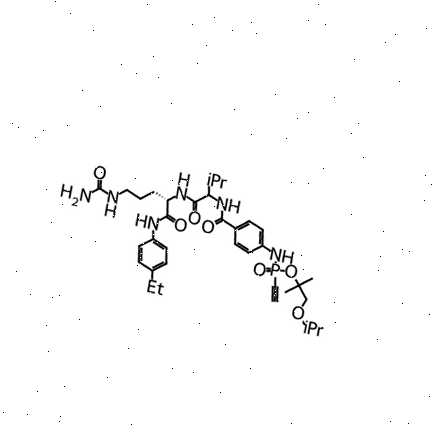 C#CP(=O)(Nc1ccc(C(=O)NC(C(=O)N[C@@H](CCCNC(N)=O)C(=O)Nc2ccc(CC)cc2)C(C)C)cc1)OC(C)(C)COC(C)C